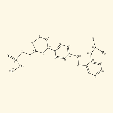 CC(C)(C)OC(=O)CCN1CCOC(c2ccc(OCc3ccccc3OC(F)F)cc2)C1